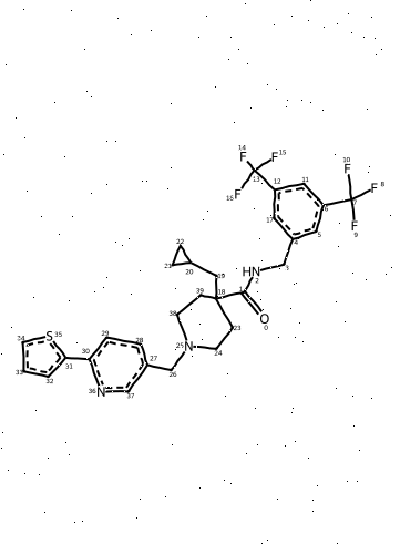 O=C(NCc1cc(C(F)(F)F)cc(C(F)(F)F)c1)C1(CC2CC2)CCN(Cc2ccc(-c3cccs3)nc2)CC1